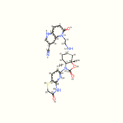 N#Cc1cnc2ccc(=O)n(CCN[C@H]3CC[C@H]4[C@H](C3)OC(=O)N4c3ccc4c(n3)NC(=O)CS4)c2c1